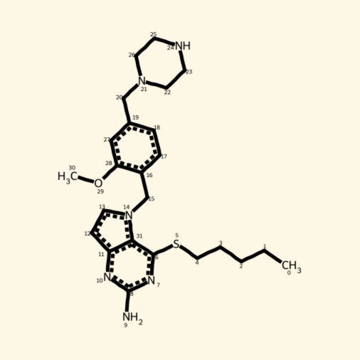 CCCCCSc1nc(N)nc2ccn(Cc3ccc(CN4CCNCC4)cc3OC)c12